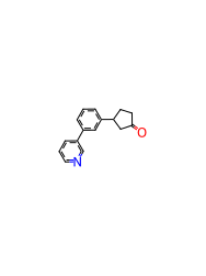 O=C1CCC(c2cccc(-c3cccnc3)c2)C1